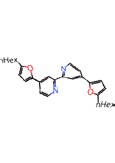 CCCCCCc1ccc(-c2ccnc(-c3cc(-c4ccc(CCCCCC)o4)ccn3)c2)o1